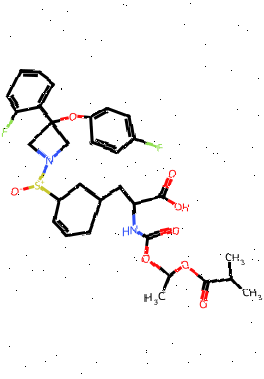 CC(OC(=O)NC(CC1CC=CC([S+]([O-])N2CC(Oc3ccc(F)cc3)(c3ccccc3F)C2)C1)C(=O)O)OC(=O)C(C)C